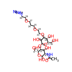 CC(=O)N[C@H]1C(O)O[C@H](CO)[C@@H](O[C@@H]2O[C@H](CO)[C@@H](O)[C@H](OCCOCCCOCCN=[N+]=[N-])[C@@H]2O)[C@@H]1O